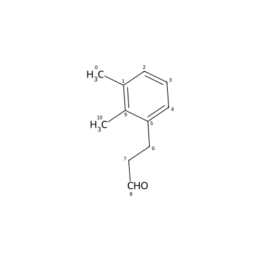 Cc1cccc(CCC=O)c1C